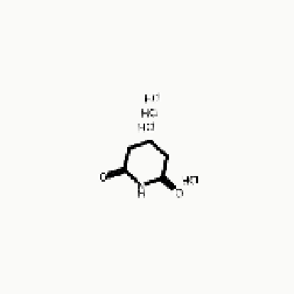 Cl.Cl.Cl.Cl.O=C1CCCC(=O)N1